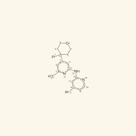 Cc1cc(C2(C(C)C)CCOCC2)cc(Nc2cc(C(C)C)ccn2)n1